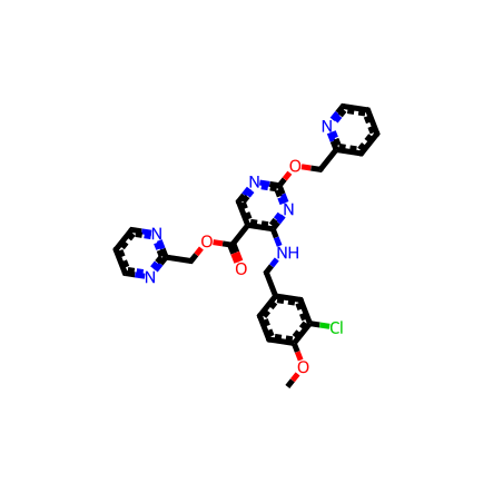 COc1ccc(CNc2nc(OCc3ccccn3)ncc2C(=O)OCc2ncccn2)cc1Cl